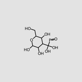 O=PC(O)(O)C1C(O)C(O)OC(CO)C1O